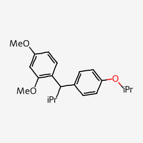 COc1ccc(C(c2ccc(OC(C)C)cc2)C(C)C)c(OC)c1